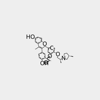 CC1=C(c2ccc(O)c(S(C)(=O)=O)c2)C(c2ccc(OC[C@H](C)N3CC[C@@H](C)C3)cc2)Oc2ccc(O)cc21